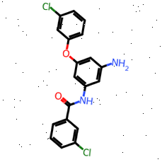 Nc1cc(NC(=O)c2cccc(Cl)c2)cc(Oc2cccc(Cl)c2)c1